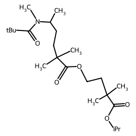 CC(C)OC(=O)C(C)(C)CCOC(=O)C(C)(C)CCC(C)N(C)C(=O)C(C)(C)C